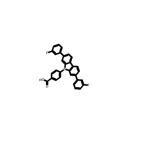 O=C(O)c1ccc(-n2c3cc(-c4cccc(F)c4)ccc3c3ccc(-c4cccc(F)c4)cc32)cc1